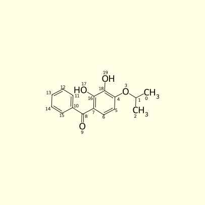 CC(C)Oc1ccc(C(=O)c2ccccc2)c(O)c1O